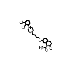 CNC(=O)N1C(=O)CCc2ccc(OCCCCN3CCN(c4cccc(Cl)c4Cl)CC3)cc21